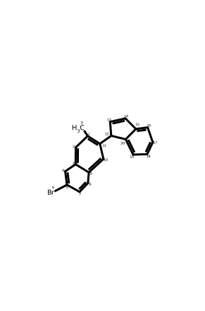 Cc1cc2cc(Br)ccc2cc1C1C=Cc2ccccc21